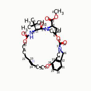 COC(=O)C1C[C@@H]2CN1C(=O)[C@H](C(C)(C)C)NC(=O)OCCC/C=C/CCOc1cccc3c1CN(C3)C(=O)O2